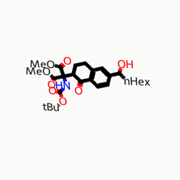 CCCCCCC(O)c1ccc2c(c1)CCC(C(NC(=O)OC(C)(C)C)(C(=O)OC)C(=O)OC)C2=O